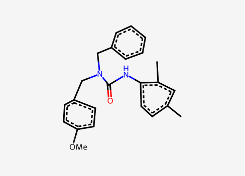 COc1ccc(CN(Cc2ccccc2)C(=O)Nc2ccc(C)cc2C)cc1